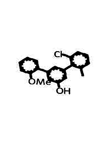 COc1ccccc1-c1cc(O)cc(-c2c(C)cccc2Cl)c1